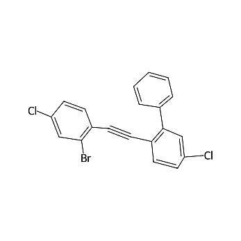 Clc1ccc(C#Cc2ccc(Cl)cc2-c2ccccc2)c(Br)c1